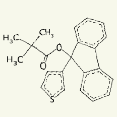 CC(C)(C)C(=O)OC1(c2ccsc2)c2ccccc2-c2ccccc21